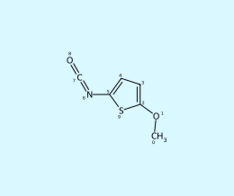 COc1ccc(N=C=O)s1